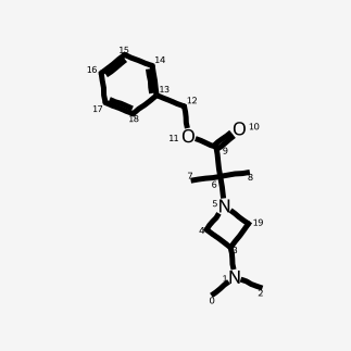 CN(C)C1CN(C(C)(C)C(=O)OCc2ccccc2)C1